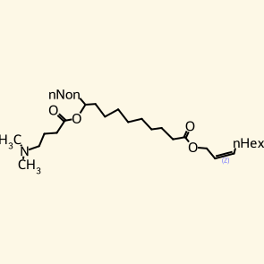 CCCCCC/C=C\COC(=O)CCCCCCCCC(CCCCCCCCC)OC(=O)CCCN(C)C